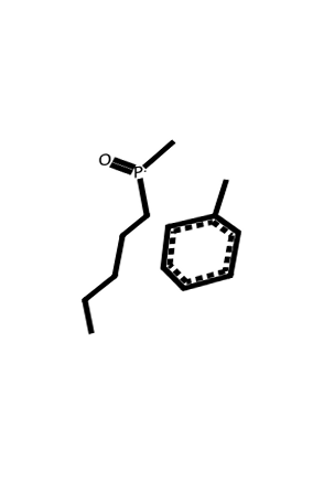 CCCCC[P](C)=O.Cc1ccccc1